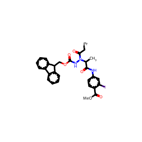 COC(=O)c1ccc(NC(=O)C(C)N(NC(=O)OCC2c3ccccc3-c3ccccc32)C(=O)CC(C)C)cc1I